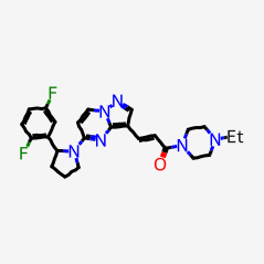 CCN1CCN(C(=O)/C=C/c2cnn3ccc(N4CCCC4c4cc(F)ccc4F)nc23)CC1